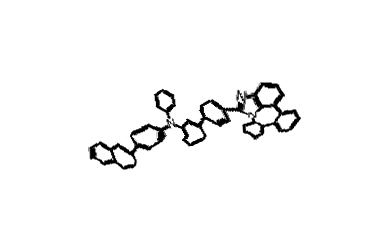 c1ccc(N(c2ccc(-c3ccc4ccccc4c3)cc2)c2cccc(-c3ccc(-c4nc5cccc6c5n4-c4ccccc4-c4ccccc4-6)cc3)c2)cc1